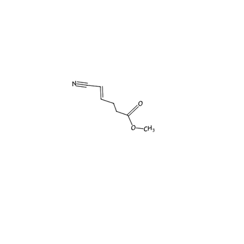 COC(=O)CCC=CC#N